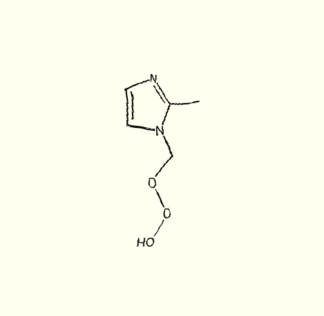 Cc1nccn1COOO